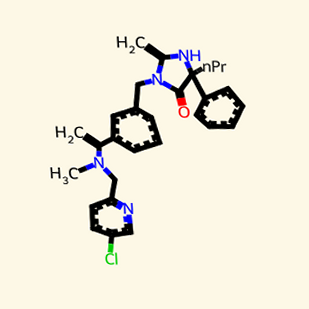 C=C(c1cccc(CN2C(=C)NC(CCC)(c3ccccc3)C2=O)c1)N(C)Cc1ccc(Cl)cn1